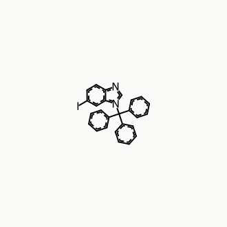 Ic1ccc2ncn(C(c3ccccc3)(c3ccccc3)c3ccccc3)c2c1